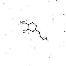 OC1CCC(CC[SiH3])CC1Cl